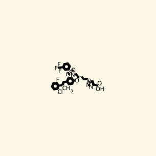 C/C(=C\c1ccc2c(c1)N(S(=O)(=O)c1cccc(C(F)(F)F)c1)C[C@H](CCCn1cc(C(=O)O)nn1)O2)c1c(F)cccc1Cl